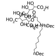 CCCCCCCCCCCCCCCCCC[N+](C)(CCCCCCCCCC)CCC[Si]1(OC(C(=O)O)C(O)C(O)C(O)C(=O)O)OC(C(=O)O)C(O)C(C(O)C(=O)O)O1